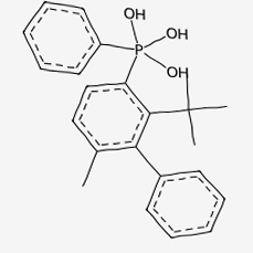 Cc1ccc(P(O)(O)(O)c2ccccc2)c(C(C)(C)C)c1-c1ccccc1